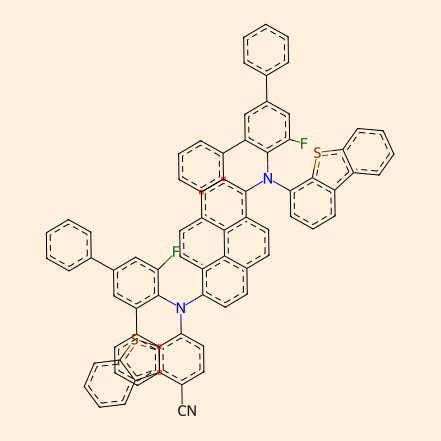 N#Cc1ccc(N(c2c(F)cc(-c3ccccc3)cc2-c2ccccc2)c2ccc3ccc4c(N(c5c(F)cc(-c6ccccc6)cc5-c5ccccc5)c5cccc6c5sc5ccccc56)ccc5ccc2c3c54)c2sc3ccccc3c12